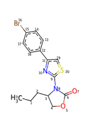 CCCC1COC(=O)N1c1nc(-c2ccc(Br)cc2)cs1